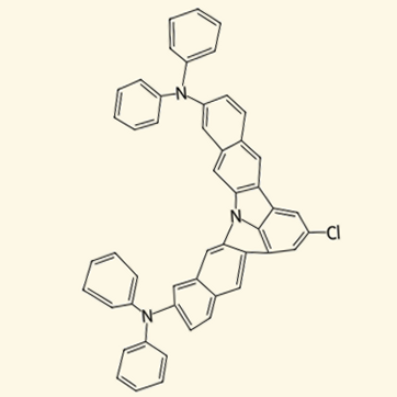 Clc1cc2c3cc4ccc(N(c5ccccc5)c5ccccc5)cc4cc3n3c4cc5cc(N(c6ccccc6)c6ccccc6)ccc5cc4c(c1)c23